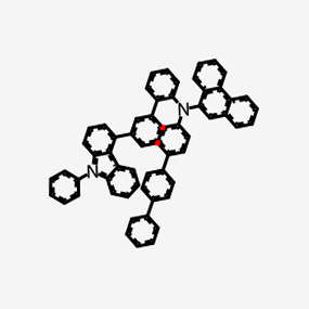 c1ccc(-c2ccc(-c3ccc(N(c4ccccc4-c4cccc(-c5cccc6c5c5ccccc5n6-c5ccccc5)c4)c4cc5ccccc5c5ccccc45)cc3)cc2)cc1